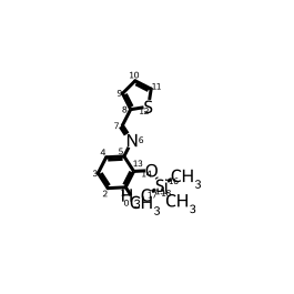 Cc1cccc(/N=C/c2cccs2)c1O[Si](C)(C)C